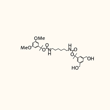 COc1cc(OC)cc(C(C)(C)OC(=O)NCCCCCCNC(=O)OC(C)(C)c2cc(CO)cc(CO)c2)c1